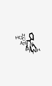 CC(=O)N(CC(C)C)CC(C1CCCCC1)N1CCNCC1.Cl.Cl